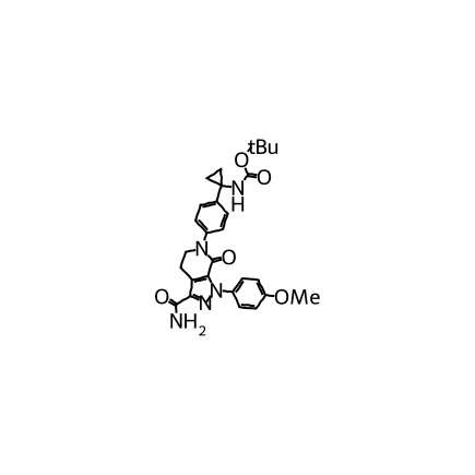 COc1ccc(-n2nc(C(N)=O)c3c2C(=O)N(c2ccc(C4(NC(=O)OC(C)(C)C)CC4)cc2)CC3)cc1